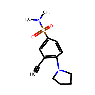 C#Cc1cc(S(=O)(=O)N(C)C)ccc1N1CCCC1